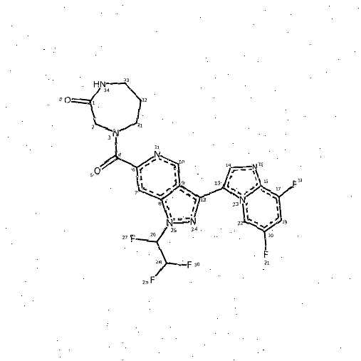 O=C1CN(C(=O)c2cc3c(cn2)c(-c2cnc4c(F)cc(F)cn24)nn3C(F)C(F)F)CCCN1